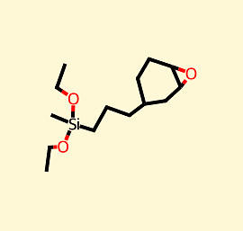 CCO[Si](C)(CCCC1CCC2OC2C1)OCC